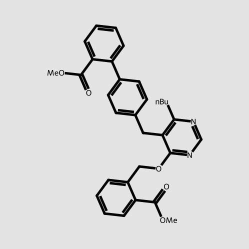 CCCCc1ncnc(OCc2ccccc2C(=O)OC)c1Cc1ccc(-c2ccccc2C(=O)OC)cc1